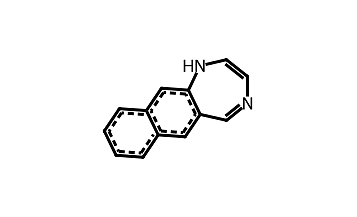 C1=CNc2cc3ccccc3cc2C=N1